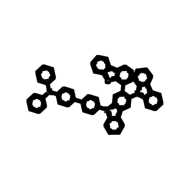 c1ccc(N(c2ccccc2)c2ccc(-c3ccc(-n4c5ccccc5c5cc(-n6c7ccccc7c7ccccc76)c(-c6cccc7c6oc6ccccc67)cc54)cc3)cc2)cc1